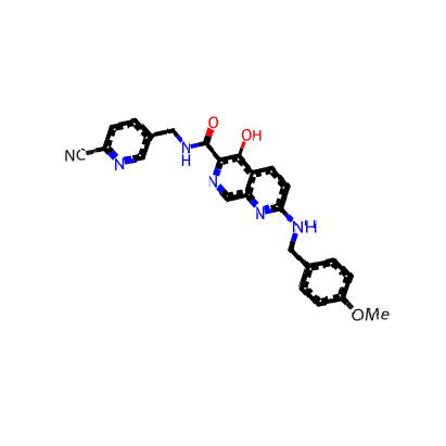 COc1ccc(CNc2ccc3c(O)c(C(=O)NCc4ccc(C#N)nc4)ncc3n2)cc1